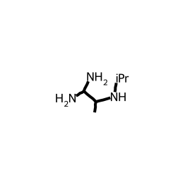 CC(C)NC(C)C(N)N